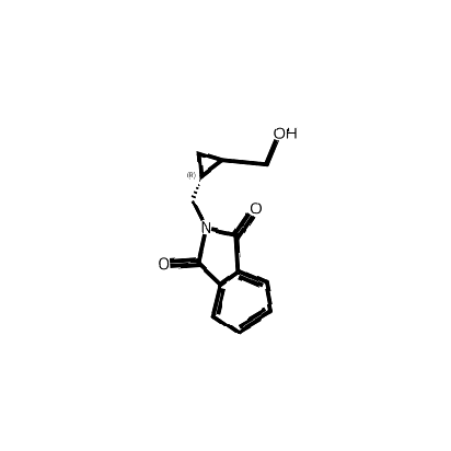 O=C1c2ccccc2C(=O)N1C[C@@H]1CC1CO